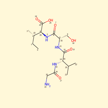 CC[C@H](C)[C@H](NC(=O)[C@H](CO)NC(=O)[C@@H](NC(=O)CN)C(C)C)C(=O)O